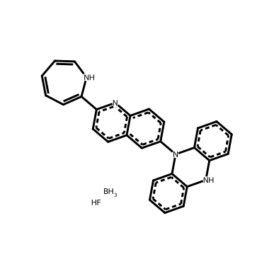 B.C1=CC=C(c2ccc3cc(N4c5ccccc5Nc5ccccc54)ccc3n2)NC=C1.F